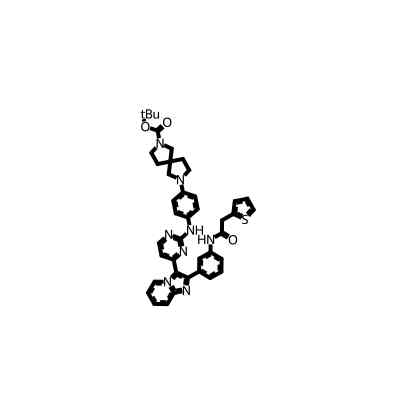 CC(C)(C)OC(=O)N1CCC2(CCN(c3ccc(Nc4nccc(-c5c(-c6cccc(NC(=O)Cc7cccs7)c6)nc6ccccn56)n4)cc3)C2)C1